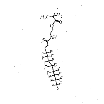 C=C(C)C(=O)OCCNC(=S)CCC(F)(F)C(F)(F)C(F)(F)C(F)(F)C(F)(F)C(F)(F)C(F)(F)C(F)(F)F